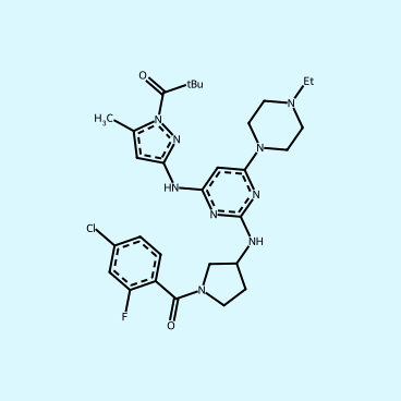 CCN1CCN(c2cc(Nc3cc(C)n(C(=O)C(C)(C)C)n3)nc(NC3CCN(C(=O)c4ccc(Cl)cc4F)C3)n2)CC1